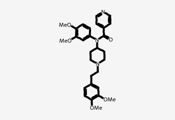 COc1ccc(CCN2CCC(N(C(=O)c3ccncc3)c3ccc(OC)c(OC)c3)CC2)cc1OC